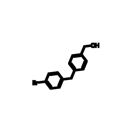 OCc1ccc(Cc2ccc(Br)cc2)cc1